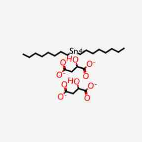 CCCCCCC[CH2][Sn+4][CH2]CCCCCCC.O=C([O-])CC(O)C(=O)[O-].O=C([O-])CC(O)C(=O)[O-]